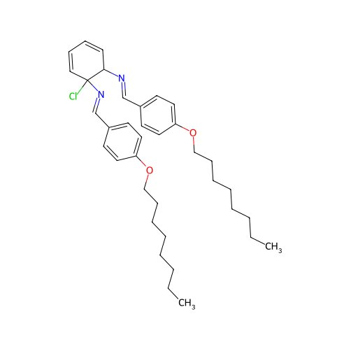 CCCCCCCCOc1ccc(C=NC2C=CC=CC2(Cl)N=Cc2ccc(OCCCCCCCC)cc2)cc1